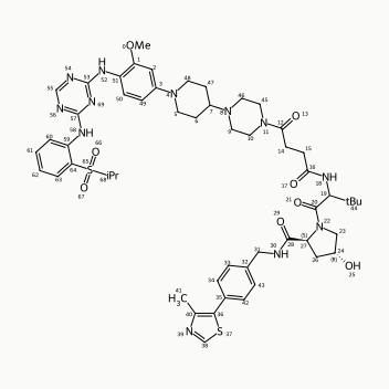 COc1cc(N2CCC(N3CCN(C(=O)CCC(=O)NC(C(=O)N4C[C@H](O)C[C@H]4C(=O)NCc4ccc(-c5scnc5C)cc4)C(C)(C)C)CC3)CC2)ccc1Nc1ncnc(Nc2ccccc2S(=O)(=O)C(C)C)n1